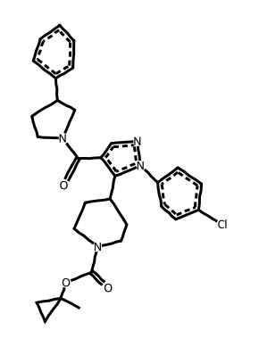 CC1(OC(=O)N2CCC(c3c(C(=O)N4CCC(c5ccccc5)C4)cnn3-c3ccc(Cl)cc3)CC2)CC1